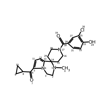 CN1CCn2c(C(=O)C3CC3)ccc2C12CCN(C(=O)c1ccc(O)c(Cl)c1)CC2